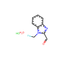 Cl.O.O=Cc1nc2ccccc2n1CF